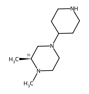 C[C@H]1CN(C2CCNCC2)CCN1C